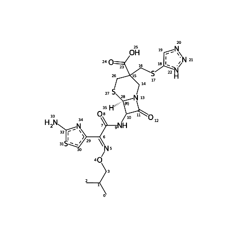 CC(C)CON=C(C(=O)NC1C(=O)N2CC(CSc3cnn[nH]3)(C(=O)O)CS[C@H]12)c1csc(N)n1